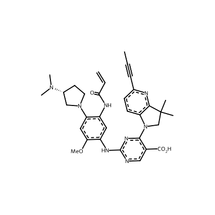 C=CC(=O)Nc1cc(Nc2ncc(C(=O)O)c(N3CC(C)(C)c4nc(C#CC)ccc43)n2)c(OC)cc1N1CC[C@@H](N(C)C)C1